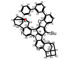 CC(C)(C)c1c2c3cccc(-c4cccc(-c5ccccc5)c4)c3oc2c2c3c4c(ncc3n3c5cnc6c(c5c1c23)C1CC2CC3CC6C23C1)C1CC2CC(C1)CC4C2